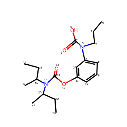 CCCN(C(=O)O)c1cccc(OC(=O)N(C(C)CC)C(C)CC)c1